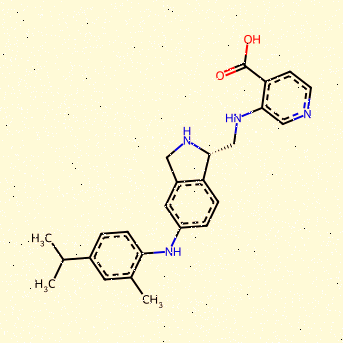 Cc1cc(C(C)C)ccc1Nc1ccc2c(c1)CN[C@@H]2CNc1cnccc1C(=O)O